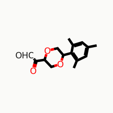 Cc1cc(C)c(C2COC(C(=O)C=O)CO2)c(C)c1